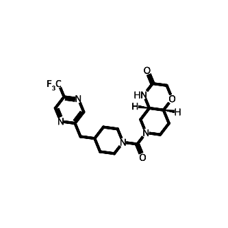 O=C1CO[C@@H]2CCN(C(=O)N3CCC(Cc4cnc(C(F)(F)F)cn4)CC3)C[C@@H]2N1